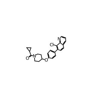 O=C(C1CC1)N1CCC(Oc2ccc(-c3ccc4cccnc4c3Cl)cc2)CC1